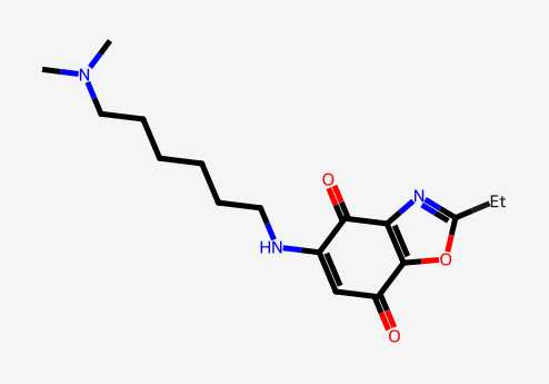 CCc1nc2c(o1)C(=O)C=C(NCCCCCCN(C)C)C2=O